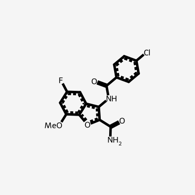 COc1cc(F)cc2c(NC(=O)c3ccc(Cl)cc3)c(C(N)=O)oc12